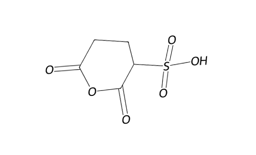 O=C1CCC(S(=O)(=O)O)C(=O)O1